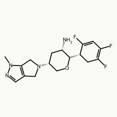 Cn1ncc2c1CN([C@H]1COC([C@H]3CC(F)=C(F)C=C3F)[C@@H](N)C1)C2